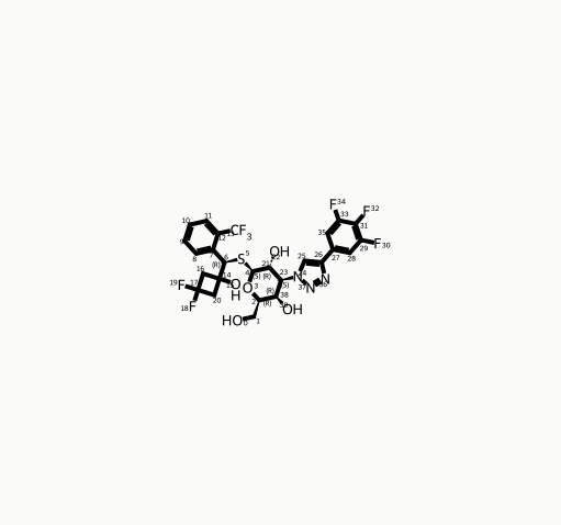 OC[C@H]1O[C@@H](S[C@H](c2ccccc2C(F)(F)F)C2(O)CC(F)(F)C2)[C@H](O)[C@@H](n2cc(-c3cc(F)c(F)c(F)c3)nn2)[C@H]1O